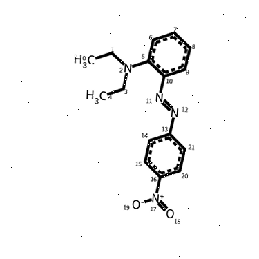 CCN(CC)c1ccccc1N=Nc1ccc([N+](=O)[O-])cc1